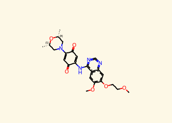 COCCOc1cc2ncnc(NC3=CC(=O)C(N4C[C@@H](C)O[C@@H](C)C4)=CC3=O)c2cc1OC